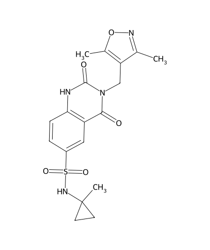 Cc1noc(C)c1Cn1c(=O)[nH]c2ccc(S(=O)(=O)NC3(C)CC3)cc2c1=O